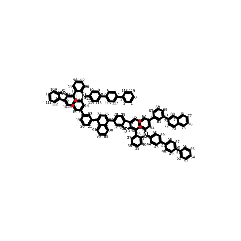 c1ccc(-c2ccc(-c3ccc(N(c4cccc(-c5cccc(-c6ccc(-c7ccc8c(c7)sc7c(-c9ccccc9N(c9ccc(-c%10ccc(-c%11ccccc%11)cc%10)cc9)c9cccc(-c%10cccc(-c%11ccc%12ccccc%12c%11)c%10)c9)cccc78)c7ccccc67)c5)c4)c4ccccc4-c4cccc5c4sc4ccccc45)cc3)cc2)cc1